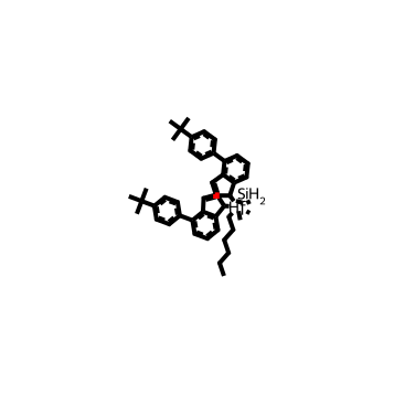 CCCCC[CH2][Hf]([CH3])([CH3])([CH3])(=[SiH2])([CH]1C=Cc2c(-c3ccc(C(C)(C)C)cc3)cccc21)[CH]1C=Cc2c(-c3ccc(C(C)(C)C)cc3)cccc21